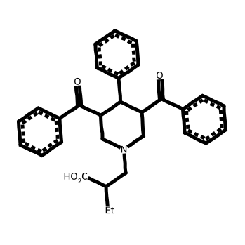 CCC(CN1CC(C(=O)c2ccccc2)C(c2ccccc2)C(C(=O)c2ccccc2)C1)C(=O)O